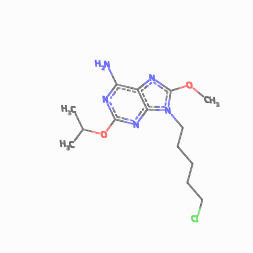 COc1nc2c(N)nc(OC(C)C)nc2n1CCCCCCl